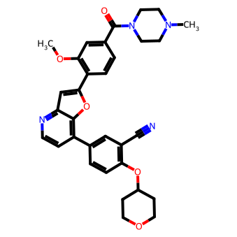 COc1cc(C(=O)N2CCN(C)CC2)ccc1-c1cc2nccc(-c3ccc(OC4CCOCC4)c(C#N)c3)c2o1